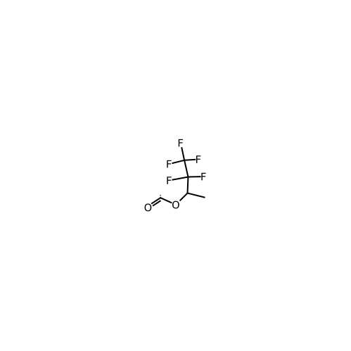 CC(O[C]=O)C(F)(F)C(F)(F)F